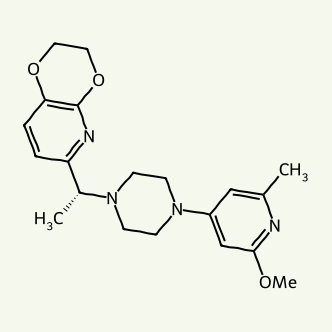 COc1cc(N2CCN([C@H](C)c3ccc4c(n3)OCCO4)CC2)cc(C)n1